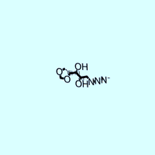 [N-]=[N+]=NC[C@@H](O)[C@H](O)[C@H]1COCO1